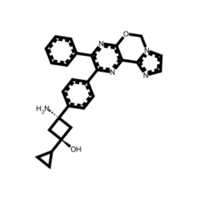 N[C@]1(c2ccc(-c3nc4c(nc3-c3ccccc3)OCn3ccnc3-4)cc2)C[C@](O)(C2CC2)C1